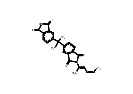 C/C=C\C=C(/C)N1C(=O)c2ccc(C(c3ccc4c(c3)C(=O)NC4=O)(C(F)(F)F)C(F)(F)F)cc2C1=O